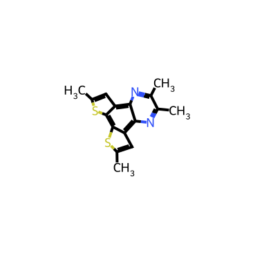 Cc1cc2c3nc(C)c(C)nc3c3cc(C)sc3c2s1